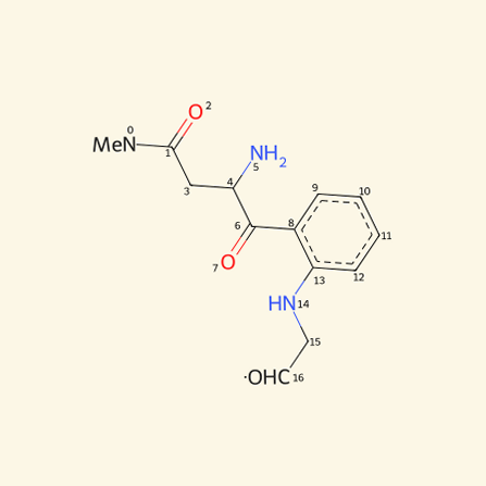 CNC(=O)CC(N)C(=O)c1ccccc1NC[C]=O